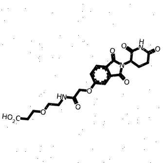 O=C(O)CCOCCNC(=O)COc1ccc2c(c1)C(=O)N(C1CCC(=O)NC1=O)C2=O